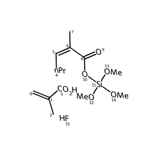 C=C(C)C(=O)O.CCCC=C(C)C(=O)O[Si](OC)(OC)OC.F